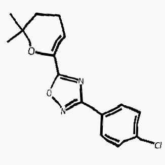 CC1(C)CCC=C(c2nc(-c3ccc(Cl)cc3)no2)O1